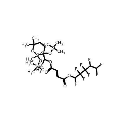 CCC(OC(=O)C=CC(=O)OC(F)C(F)(F)C(F)(F)C(F)C(F)F)[Si]1(O[Si](C)(C)C)CCC(C)(C)O[Si]1(C)O[Si](C)(C)C